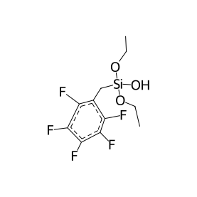 CCO[Si](O)(Cc1c(F)c(F)c(F)c(F)c1F)OCC